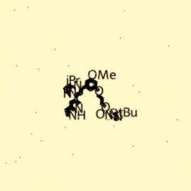 COc1cc(OCCCOC(=O)N(C)O[Si](C)(C)C(C)(C)C)cc(-c2cc(-c3cnc4[nH]ccc4c3)n3ncc(C(C)C)c3n2)c1